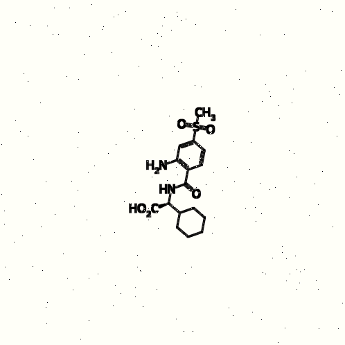 CS(=O)(=O)c1ccc(C(=O)N[C@H](C(=O)O)C2CCCCC2)c(N)c1